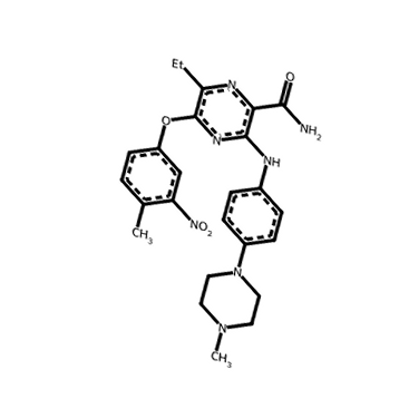 CCc1nc(C(N)=O)c(Nc2ccc(N3CCN(C)CC3)cc2)nc1Oc1ccc(C)c([N+](=O)[O-])c1